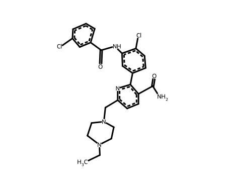 CCN1CCN(Cc2ccc(C(N)=O)c(-c3ccc(Cl)c(NC(=O)c4cccc(Cl)c4)c3)n2)CC1